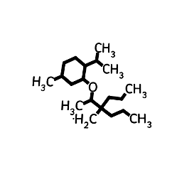 [CH2]C(CCC)(CCC)C(C)OC1CC(C)CCC1C(C)C